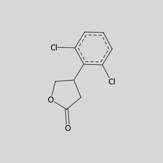 O=C1CC(c2c(Cl)cccc2Cl)CO1